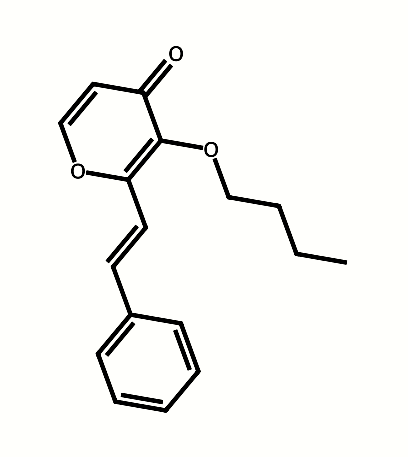 CCCCOc1c(/C=C/c2ccccc2)occc1=O